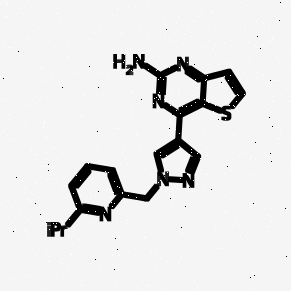 CC(C)c1cccc(Cn2cc(-c3nc(N)nc4ccsc34)cn2)n1